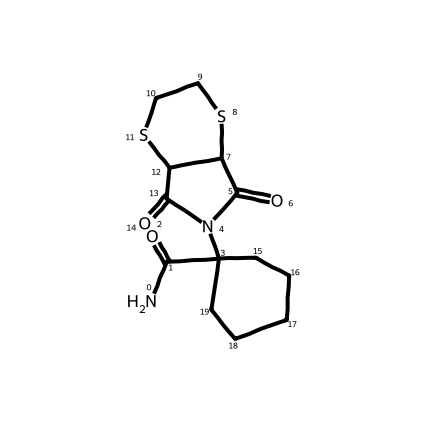 NC(=O)C1(N2C(=O)C3SCCSC3C2=O)CCCCC1